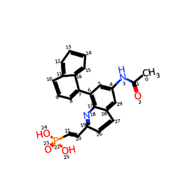 CC(=O)Nc1cc(-c2cccc3ccccc23)c2nc(C=CP(=O)(O)O)ccc2c1